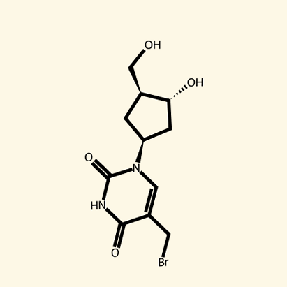 O=c1[nH]c(=O)n([C@H]2C[C@@H](CO)[C@H](O)C2)cc1CBr